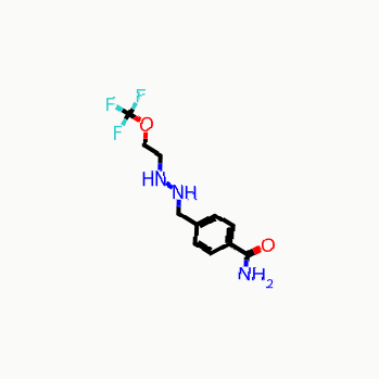 NC(=O)c1ccc(CNNCCOC(F)(F)F)cc1